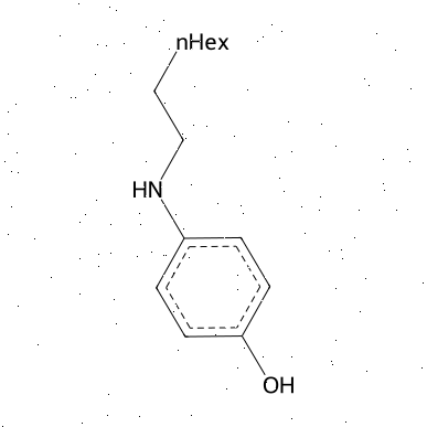 CCCCCCCCNc1ccc(O)cc1